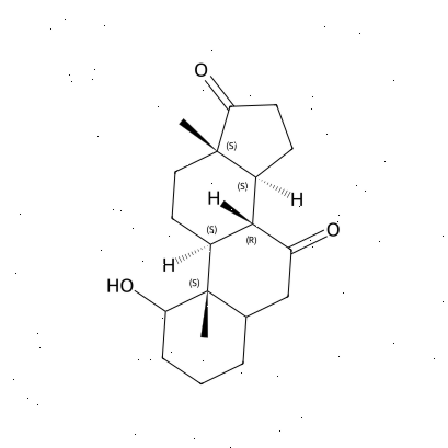 C[C@]12C(O)CCCC1CC(=O)[C@@H]1[C@@H]2CC[C@]2(C)C(=O)CC[C@@H]12